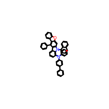 c1ccc(-c2ccc(N(c3ccccc3)c3cccc4c5c(-c6ccccc6)c6c(cc5n(-c5cccc7ccccc57)c34)oc3ccccc36)cc2)cc1